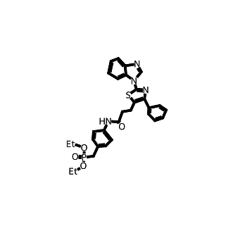 CCOP(=O)(Cc1ccc(NC(=O)CCc2sc(-n3cnc4ccccc43)nc2-c2ccccc2)cc1)OCC